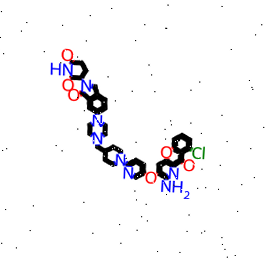 Nc1nc2c(=O)c3c(Cl)cccc3oc2cc1Oc1ccc(N2CCC(CN3CCN(c4ccc5c(c4)C(=O)N(C4CCC(=O)NC4=O)C5)CC3)CC2)nc1